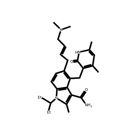 CCC(CC)n1c(C)c(C(N)=O)c2c(Cc3c(C)cc(C)[nH]c3=O)c(CC=CCN(C)C)ccc21